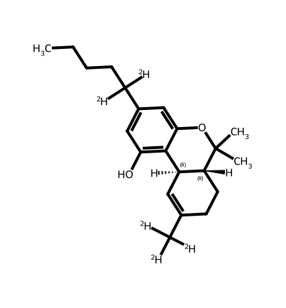 [2H]C([2H])([2H])C1=C[C@H]2c3c(O)cc(C([2H])([2H])CCCC)cc3OC(C)(C)[C@@H]2CC1